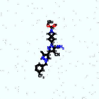 Cc1nn(Cc2cccc(C(F)(F)F)c2)cc1-c1nn(C2CC3(C2)CN(C(=O)OC(C)(C)C)C3)c(N)c1C#N